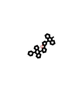 Cc1c2ccccc2c(-c2ccc3oc4c(-c5c6ccccc6c(-c6ccccc6)c6ccccc56)cccc4c3c2)c2ccccc12